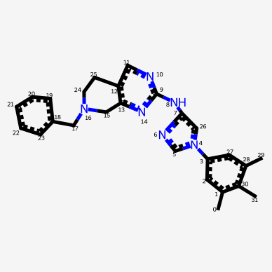 Cc1cc(-n2cnc(Nc3ncc4c(n3)CN(Cc3ccccc3)CC4)c2)cc(C)c1C